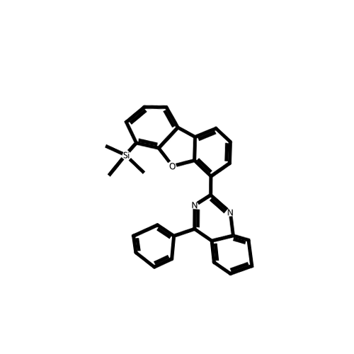 C[Si](C)(C)c1cccc2c1oc1c(-c3nc(-c4ccccc4)c4ccccc4n3)cccc12